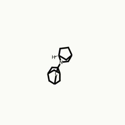 C1C[C@H]2CC1CN2C12CC3CC(CC1C3)C2